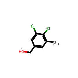 Cc1cc(CO)cc(Br)c1Cl